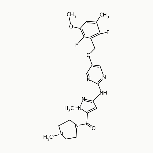 COc1cc(C)c(F)c(COc2cnc(Nc3cc(C(=O)N4CCN(C)CC4)n(C)n3)nc2)c1F